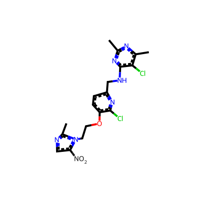 Cc1nc(C)c(Cl)c(NCc2ccc(OCCn3c([N+](=O)[O-])cnc3C)c(Cl)n2)n1